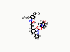 COc1cc(C=O)ccc1NC(=O)CCCc1ccc(-c2ccccc2)c(NC(=O)O[C@@H]2C[C@@H]3[C@H]4O[C@H]4[C@H](C2)[N+]3(C)C)c1